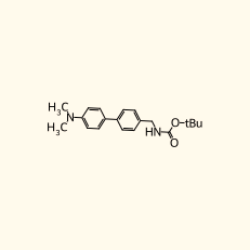 CN(C)c1ccc(-c2ccc(CNC(=O)OC(C)(C)C)cc2)cc1